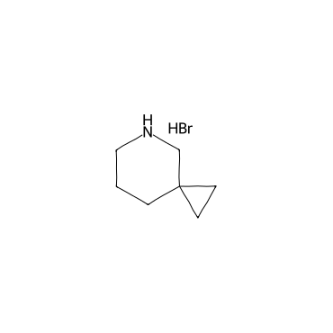 Br.C1CNCC2(C1)CC2